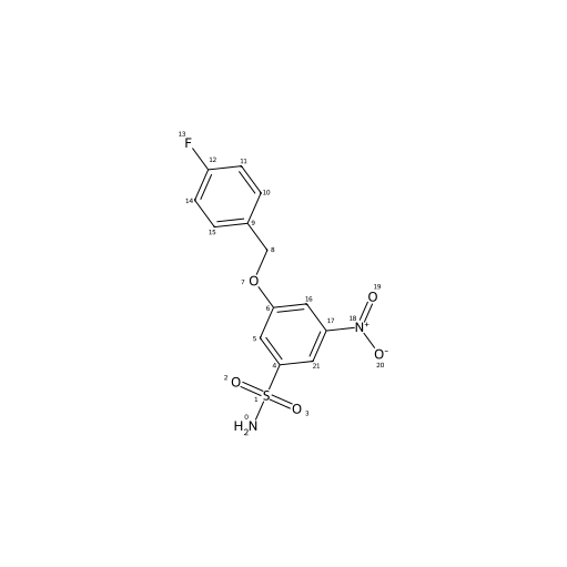 NS(=O)(=O)c1cc(OCc2ccc(F)cc2)cc([N+](=O)[O-])c1